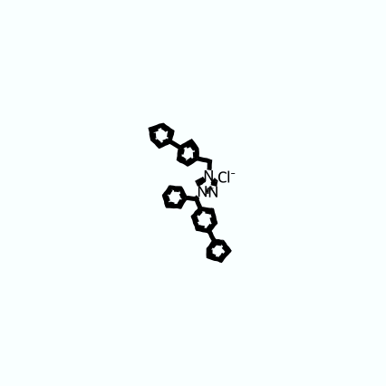 [Cl-].c1ccc(-c2ccc(Cn3cn[n+](C(c4ccccc4)c4ccc(-c5ccccc5)cc4)c3)cc2)cc1